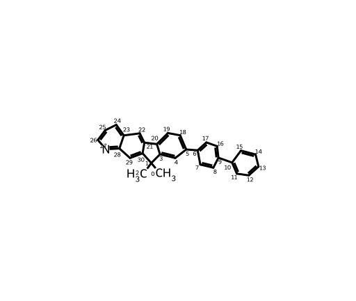 CC1(C)c2cc(-c3ccc(-c4ccccc4)cc3)ccc2-c2cc3cccnc3cc21